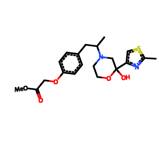 COC(=O)COc1ccc(CC(C)N2CCOC(O)(c3csc(C)n3)C2)cc1